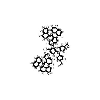 CCc1ccc(N(c2ccc(CC)cc2)c2cc(-n3ccc4c(N(c5cccc6ccccc56)c5cccc6ccccc56)cccc43)c(Cl)c(-n3ccc4c(N(c5cccc6ccccc56)c5cccc6ccccc56)cccc43)c2)cc1